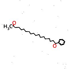 CC(=O)CCCCCCCCCCCCCCCCC(=O)c1ccccc1